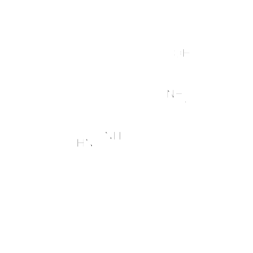 NC(CO)CCCNNc1ccccc1